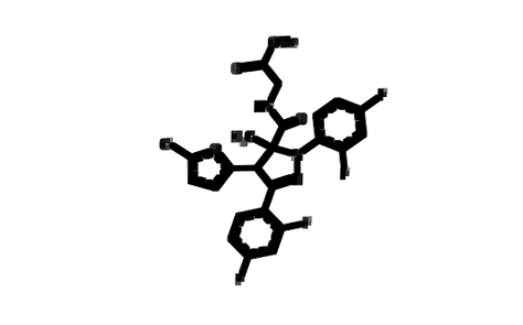 COC(=O)CNC(=O)C1(C)C(c2ccc(Cl)o2)C(c2ccc(F)cc2F)=NN1c1ccc(F)cc1F